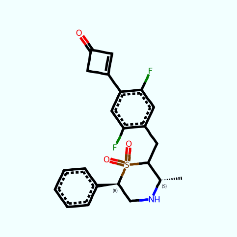 C[C@@H]1NC[C@@H](c2ccccc2)S(=O)(=O)C1Cc1cc(F)c(C2=CC(=O)C2)cc1F